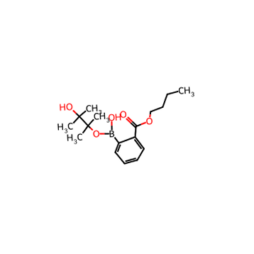 CCCCOC(=O)c1ccccc1B(O)OC(C)(C)C(C)(C)O